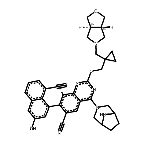 C#Cc1cccc2cc(O)cc(-c3c(C#N)cc4c(N5CC6CCC(C5)N6)nc(OCC5(CN6C[C@H]7COC[C@@H]7C6)CC5)nc4c3F)c12